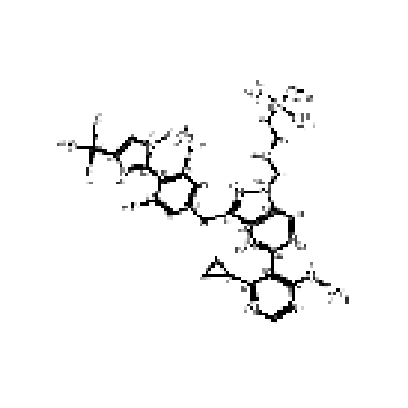 COc1ncnc(C2CC2)c1-c1ncc2c(n1)c(Cc1cc(F)c(-c3nc(C(F)(F)F)cn3C)c(F)c1)nn2COCC[Si](C)(C)C